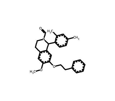 COc1cc2c(cc1OCCc1ccccc1)C(c1ccc(C)cc1C)N(C=O)CC2